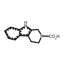 O=C(O)N1CCc2c([nH]c3ccccc23)C1